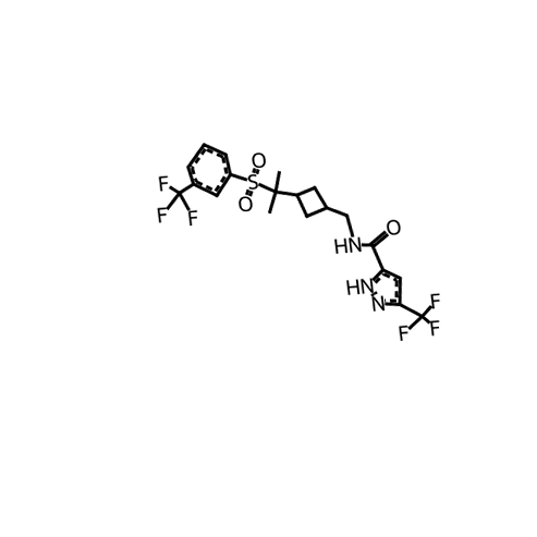 CC(C)(C1CC(CNC(=O)c2cc(C(F)(F)F)n[nH]2)C1)S(=O)(=O)c1cccc(C(F)(F)F)c1